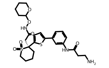 NCCC(=O)Nc1cccc(-c2ccc([C@@]3(CC(=O)NOC4CCCCO4)CCCCS3(=O)=O)s2)c1